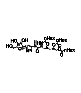 CCCCCCC(=O)N[C@H](CSC[C@@H](COC(=O)CCCCCC)OC(=O)CCCCCC)C(=O)Nc1cn([C@H]2OC(CO)[C@@H](O)[C@@H]2O)nn1